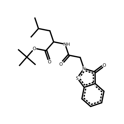 CC(C)CC(NC(=O)Cn1sc2ccccc2c1=O)C(=O)OC(C)(C)C